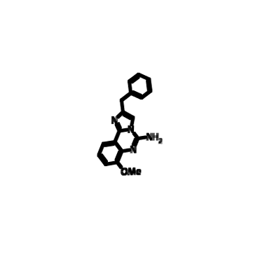 COc1cccc2c1nc(N)n1cc(Cc3ccccc3)nc21